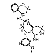 COc1cncc([C@H]([C@@H]2C[C@H]2C(=O)N[C@H]2CC(C)(C)Oc3ccccc32)N2C(=N)NC(C)(C)CC2=O)c1